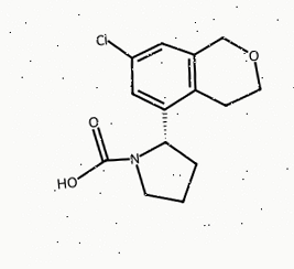 O=C(O)N1CCC[C@H]1c1cc(Cl)cc2c1CCOC2